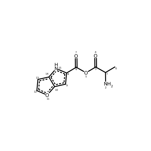 CC(N)C(=O)OC(=O)c1cc2occc2[nH]1